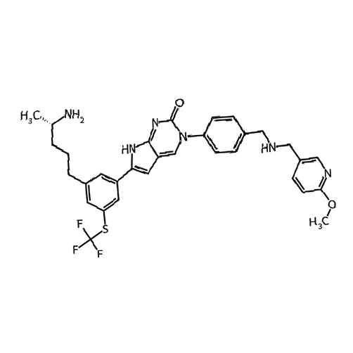 COc1ccc(CNCc2ccc(-n3cc4cc(-c5cc(CCC[C@H](C)N)cc(SC(F)(F)F)c5)[nH]c4nc3=O)cc2)cn1